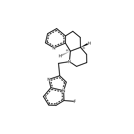 Fc1cccc2nc(CN3CCC[C@H]4CCc5cccnc5[C@@H]43)cn12